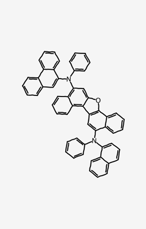 c1ccc(N(c2cccc3ccccc23)c2cc3c(oc4cc(N(c5ccccc5)c5cc6ccccc6c6ccccc56)c5ccccc5c43)c3ccccc23)cc1